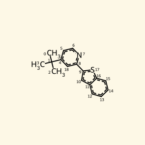 CC(C)(C)c1ccnc(-c2cc3ccccc3s2)c1